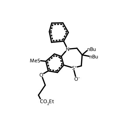 CCCCC1(CCCC)CN(c2ccccc2)c2cc(SC)c(OCCC(=O)OCC)cc2[S+]([O-])C1